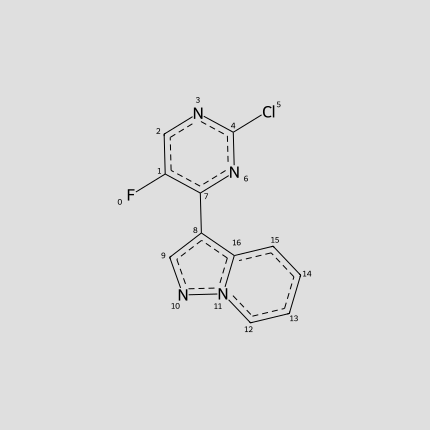 Fc1cnc(Cl)nc1-c1cnn2ccccc12